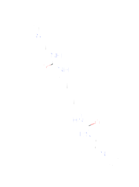 O=C(NCCCCCCNC(=O)NCCN1CCCC1)NCCN1CCCC1